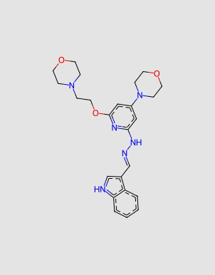 C(=NNc1cc(N2CCOCC2)cc(OCCN2CCOCC2)n1)c1c[nH]c2ccccc12